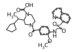 COc1cc(C(=O)N2CCN(C(=O)O)C(C(C)C3CCCC3)C2)ccc1NS(=O)(=O)c1cccc2cccnc12